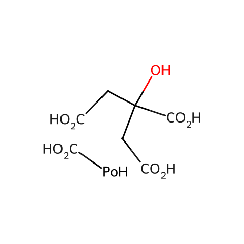 O=C(O)CC(O)(CC(=O)O)C(=O)O.O=[C](O)[PoH]